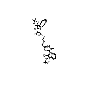 CN1N=C(CCCCc2nnc(NC(=O)C3(c4ccccc4)COC(C)(C)O3)s2)SC1NC(=O)C1(c2ccccc2)COC(C)(C)O1